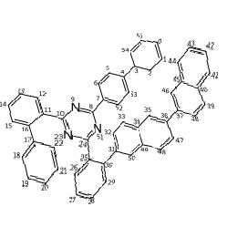 C1=CCC(c2ccc(-c3nc(-c4ccccc4-c4ccccc4)nc(-c4ccccc4-c4ccc5cc(-c6ccc7ccccc7c6)ccc5c4)n3)cc2)C=C1